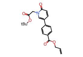 C=CCOC(=O)c1ccc(-c2ccc(=O)n(CC(=O)OC(C)(C)C)c2)cc1